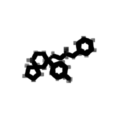 Fc1ccc([C@]2(CCNCc3ccccc3)CCOC3(CCCC3)C2)cc1